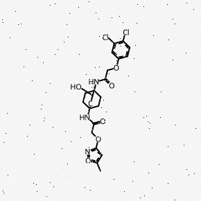 Cc1cc(OCC(=O)NC23CCC(NC(=O)COc4ccc(Cl)c(Cl)c4)(CC2)C(O)C3)no1